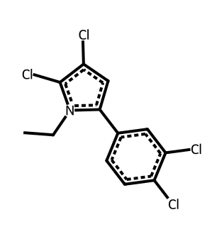 CCn1c(-c2ccc(Cl)c(Cl)c2)cc(Cl)c1Cl